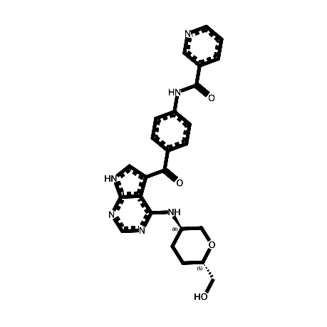 O=C(Nc1ccc(C(=O)c2c[nH]c3ncnc(N[C@@H]4CC[C@@H](CO)OC4)c23)cc1)c1cccnc1